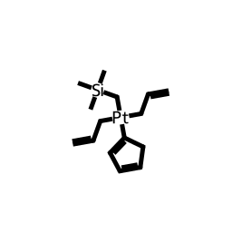 C=C[CH2][Pt]([CH2]C=C)([CH2][Si](C)(C)C)[C]1=CC=CC1